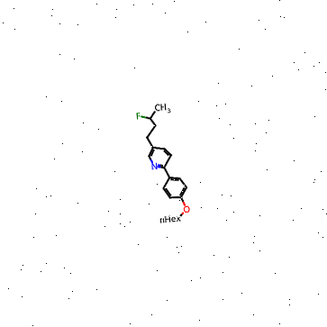 CCCCCCOc1ccc(-c2ccc(CCC(C)F)cn2)cc1